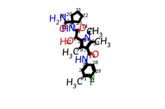 Cc1cc(NC(=O)c2c(C)c(C(O)C(=O)NC3(C(N)=O)CCCC3)n(C)c2C)ccc1F